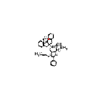 CCCCn1c(-c2ccccc2)nc(C(OC)OC)c1CNC(Cc1ccccc1)(Cc1ccccc1)C1=COCO1